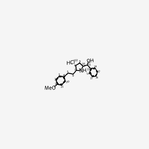 COc1ccc(CCC2CCC(C(O)c3ccccc3)N2)cc1.Cl